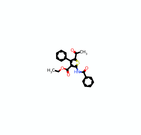 CCOC(=O)c1c(NC(=O)c2ccccc2)sc(C(C)=O)c1-c1ccccc1